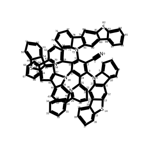 N#Cc1c(-n2c3ccccc3c3cc4sc5ccccc5c4cc32)c(-c2cccc(-c3ccccc3)n2)c(-n2c3ccccc3c3cc4sc5ccccc5c4cc32)c(-c2cccc(-c3ccccc3)n2)c1-n1c2ccccc2c2cc3sc4ccccc4c3cc21